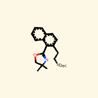 CCCCCCCCCCCCc1ccc2ccccc2c1C1=NC(C)(C)CO1